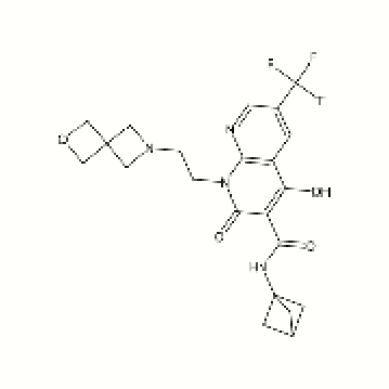 O=C(NC12CC(C1)C2)c1c(O)c2cc(C(F)(F)F)cnc2n(CCN2CC3(COC3)C2)c1=O